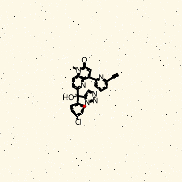 C#Cc1cccc(-c2cc(=O)n(C)c3ccc([C@](O)(c4ccc(Cl)cc4)c4cnnn4C)nc23)n1